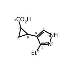 CCc1n[nH]cc1C1CC1C(=O)O